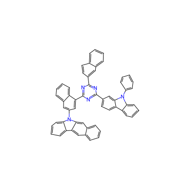 c1ccc(-n2c3ccccc3c3ccc(-c4nc(-c5ccc6ccccc6c5)nc(-c5cc(-n6c7ccccc7c7cc8ccccc8cc76)cc6ccccc56)n4)cc32)cc1